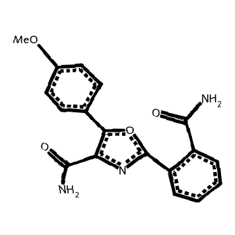 COc1ccc(-c2oc(-c3ccccc3C(N)=O)nc2C(N)=O)cc1